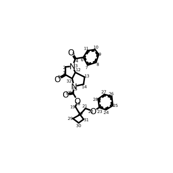 O=C1CN(C(=O)c2ccccc2)C2CCN(C(=O)OCC3(COc4ccccc4)CCC3)C12